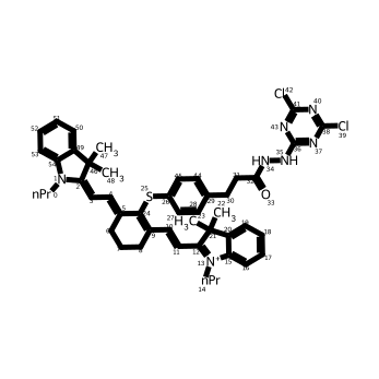 CCCN1/C(=C/C=C2\CCCC(/C=C/C3=[N+](CCC)c4ccccc4C3(C)C)=C2Sc2ccc(CCC(=O)NNc3nc(Cl)nc(Cl)n3)cc2)C(C)(C)c2ccccc21